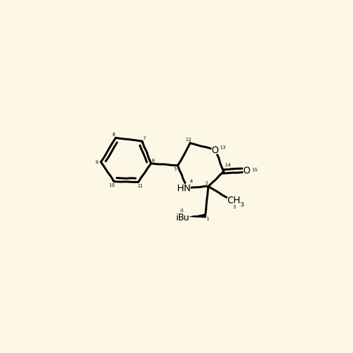 CC[C@H](C)CC1(C)NC(c2ccccc2)COC1=O